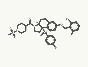 CS(=O)(=O)N1CCC(C(=O)N2CC[C@@]3(S(=O)(=O)c4ccc(F)cc4)c4ccc(OCc5c(F)cccc5Cl)cc4CC[C@@H]23)CC1